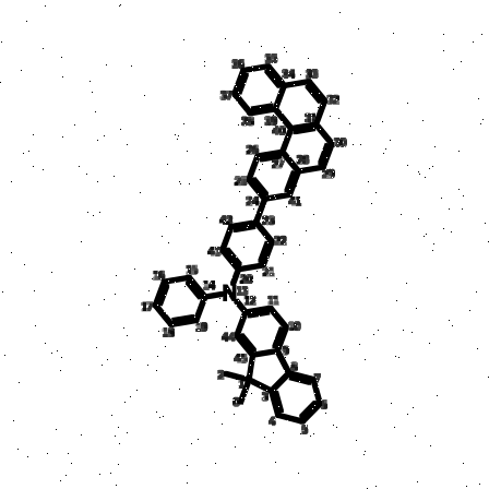 CC1(C)c2ccccc2-c2ccc(N(c3ccccc3)c3ccc(-c4ccc5c(ccc6ccc7ccccc7c65)c4)cc3)cc21